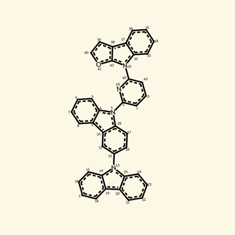 c1cc(-n2c3ccccc3c3cc(-n4c5ccccc5c5ccccc54)ccc32)nc(-n2c3ccccc3c3ccoc32)c1